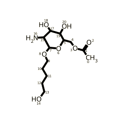 CC(=O)OCC1OC(OCCCCCO)C(N)C(O)C1O